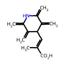 C=C1NC(=C)C(=C)C(C=C(C)C(=O)O)C1=C